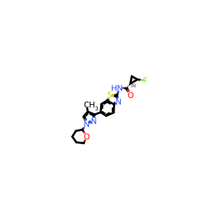 Cc1cn(C2CCCCO2)nc1-c1ccc2nc(NC(=O)[C@@H]3CC3F)sc2c1